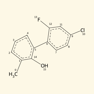 Cc1cccc(-c2ccc(Cl)cc2F)c1O